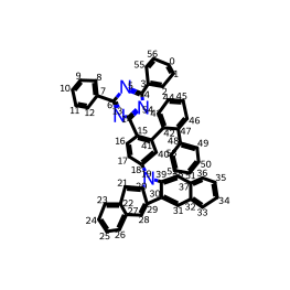 c1ccc(-c2nc(-c3ccccc3)nc(-c3ccc(-n4c5cc6ccccc6cc5c5cc6ccccc6cc54)cc3-c3ccccc3-c3ccccc3)n2)cc1